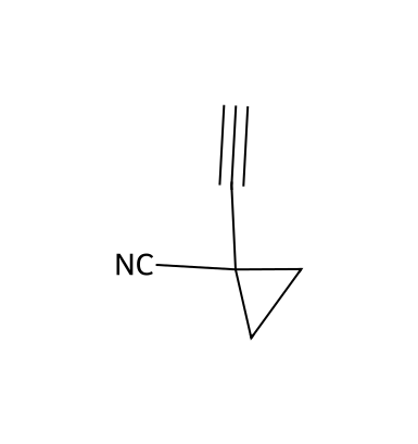 C#CC1(C#N)CC1